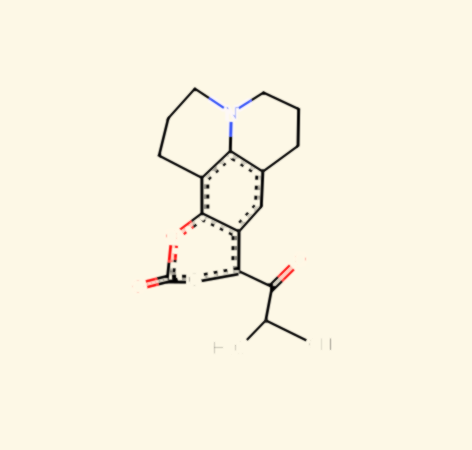 CC(C)C(=O)c1cc(=O)oc2c3c4c(cc12)CCCN4CCC3